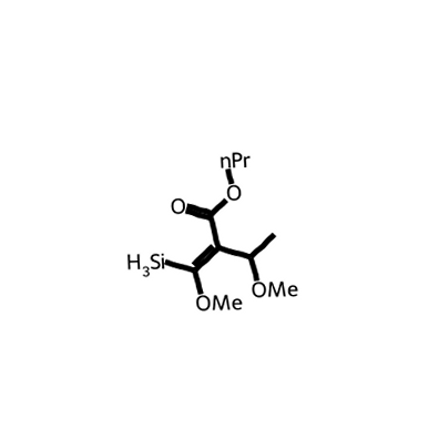 CCCOC(=O)C(=C([SiH3])OC)C(C)OC